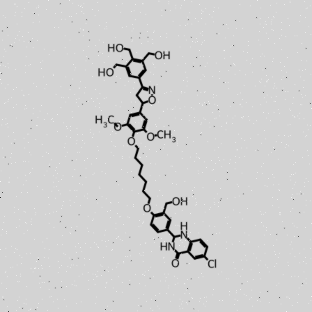 COc1cc(C2CC(c3cc(CO)c(CO)c(CO)c3)=NO2)cc(OC)c1OCCCCCCCOc1ccc(C2NC(=O)c3cc(Cl)ccc3N2)cc1CO